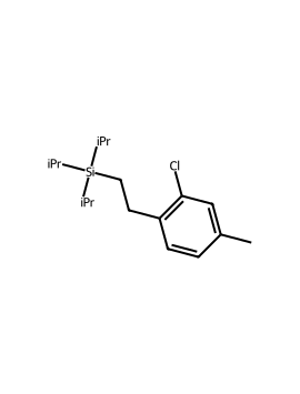 Cc1ccc(CC[Si](C(C)C)(C(C)C)C(C)C)c(Cl)c1